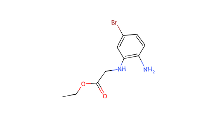 CCOC(=O)CNc1cc(Br)ccc1N